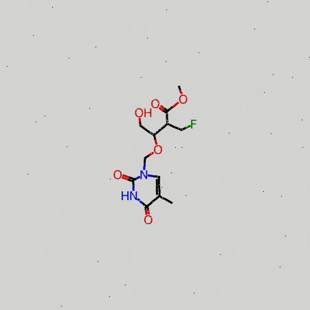 COC(=O)C(CF)C(CO)OCn1cc(C)c(=O)[nH]c1=O